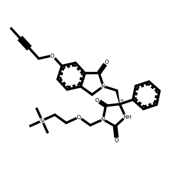 CC#CCOc1ccc2c(c1)C(=O)N(C[C@@]1(c3ccccc3)NC(=O)N(COCC[Si](C)(C)C)C1=O)C2